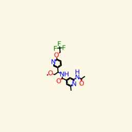 COCC(NC(=O)c1cc(C)nc(NC(C)=O)c1)c1ccc(OCC(F)(F)F)nc1